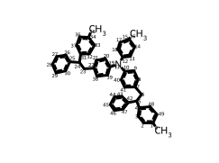 Cc1ccc(C(Cc2ccc(N(c3ccc(C)cc3)c3ccc(CC(c4ccccc4)c4ccc(C)cc4)cc3)cc2)c2ccccc2)cc1